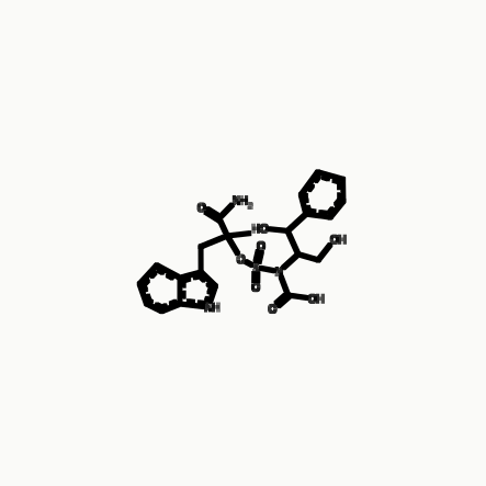 CC(Cc1c[nH]c2ccccc12)(OS(=O)(=O)N(C(=O)O)C(CO)C(O)c1ccccc1)C(N)=O